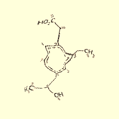 Cc1cc(C(C)O)ccc1CC(=O)O